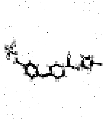 Cc1nsc(NC(=O)N2CCC(=Cc3ccc(COS(C)(=O)=O)cc3)CC2)n1